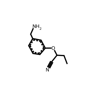 CCC(C#N)Oc1cccc(CN)c1